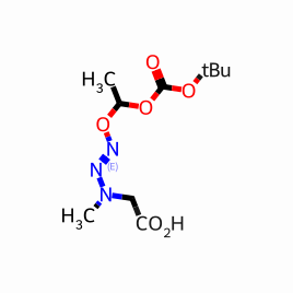 CC(O/N=N/N(C)CC(=O)O)OC(=O)OC(C)(C)C